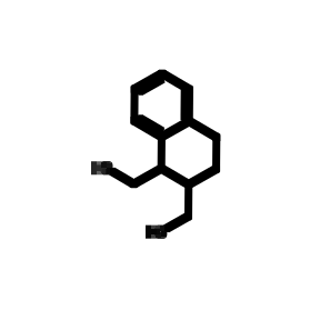 OCC1CCc2ccccc2C1CO